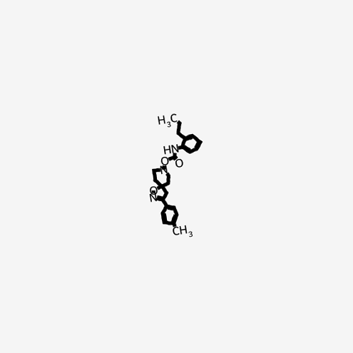 CCCc1ccccc1NC(=O)ON1CCC2(CC1)CC(c1ccc(C)cc1)=NO2